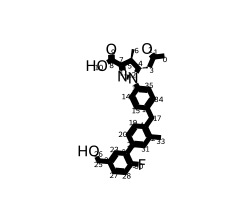 CC(=O)C[C@H]1[C@H](C)C(C(=O)O)=NN1c1ccc(Cc2ccc(-c3cc(CO)ccc3F)cc2C)cc1